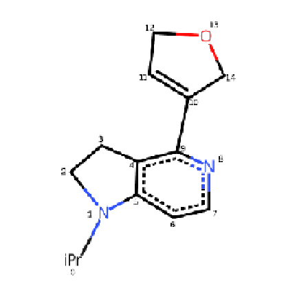 CC(C)N1CCc2c1ccnc2C1=CCOC1